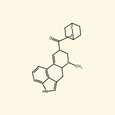 CN1CC(C(=O)N2CC3CCC2CC3)C=C2c3cccc4[nH]cc(c34)CC21